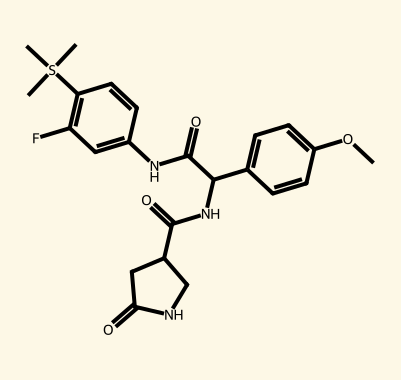 COc1ccc(C(NC(=O)C2CNC(=O)C2)C(=O)Nc2ccc(S(C)(C)C)c(F)c2)cc1